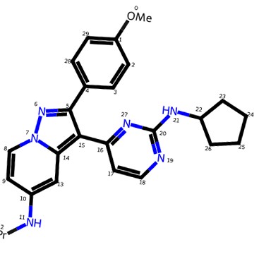 COc1ccc(-c2nn3ccc(NC(C)C)cc3c2-c2ccnc(NC3CCCC3)n2)cc1